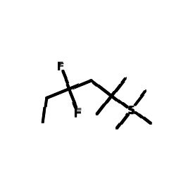 CCC(F)(F)CC(C)(C)S(C)(C)C